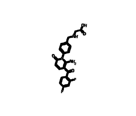 Nc1c(C(=O)c2ccc(F)cc2F)ccc(=O)n1-c1ccc(CNCC(=O)O)cc1